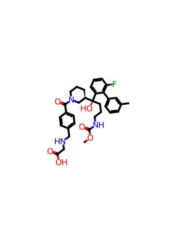 COC(=O)NCCC[C@@](O)(c1cccc(F)c1-c1cccc(C)c1)[C@@H]1CCCN(C(=O)c2ccc(CNCC(=O)O)cc2)C1